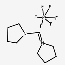 C(N1CCCC1)=[N+]1CCCC1.F[P-](F)(F)(F)(F)F